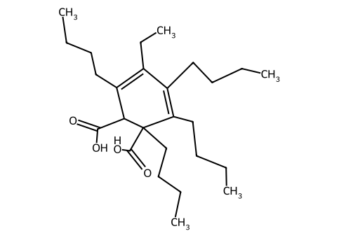 CCCCC1=C(CCCC)C(CCCC)(C(=O)O)C(C(=O)O)C(CCCC)=C1CC